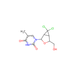 Cc1cn(C2OC(CO)C3C2C3(Cl)Cl)c(=O)[nH]c1=O